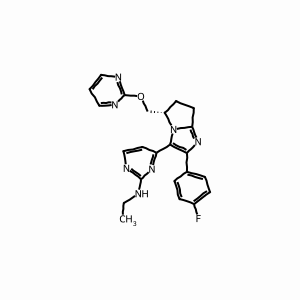 CCNc1nccc(-c2c(-c3ccc(F)cc3)nc3n2[C@H](COc2ncccn2)CC3)n1